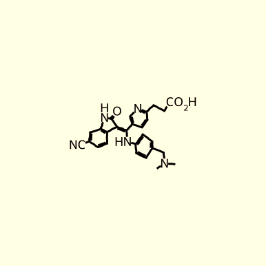 CN(C)Cc1ccc(NC(=C2C(=O)Nc3cc(C#N)ccc32)c2ccc(CCC(=O)O)nc2)cc1